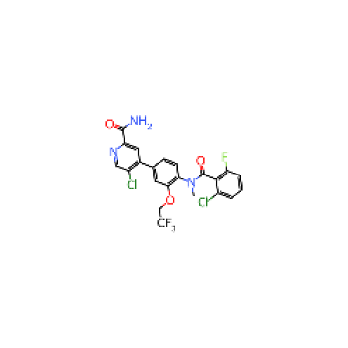 CN(C(=O)c1c(F)cccc1Cl)c1ccc(-c2cc(C(N)=O)ncc2Cl)cc1OCC(F)(F)F